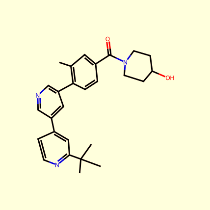 Cc1cc(C(=O)N2CCC(O)CC2)ccc1-c1cncc(-c2ccnc(C(C)(C)C)c2)c1